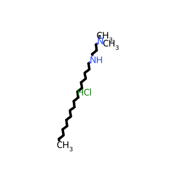 CCCCCCCCCCCCCCCCCCNCCCN(C)C.Cl